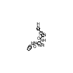 CC1NC=C(NC(=O)CN2CC3CCC(C2)O3)C=C1NC(=O)c1cnn2cc(-c3cc[nH]c3)sc12